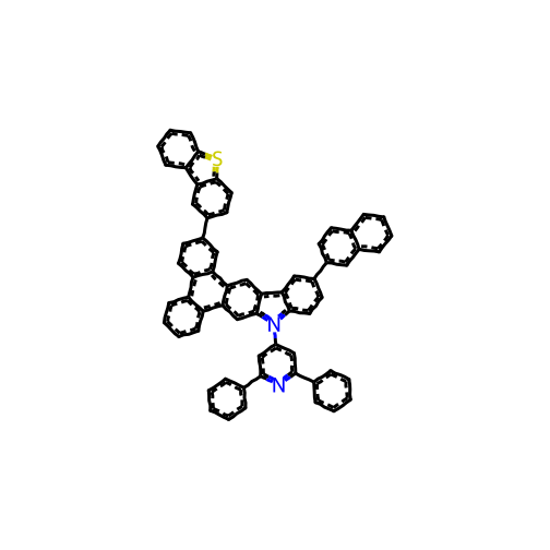 c1ccc(-c2cc(-n3c4ccc(-c5ccc6ccccc6c5)cc4c4cc5c6cc(-c7ccc8sc9ccccc9c8c7)ccc6c6ccccc6c5cc43)cc(-c3ccccc3)n2)cc1